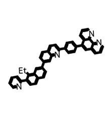 CCc1c(-c2ccccn2)ccc2ccc(-c3ccc4ccc(-c5ccc(-c6cc7cccnc7c7ncccc67)cc5)nc4c3)cc12